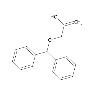 C=C(O)COC(c1ccccc1)c1ccccc1